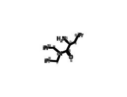 CC(C)C[C@H](N)C(=O)N(CC(C)C)CC(C)C